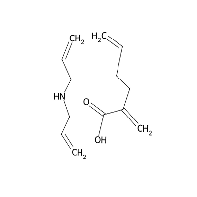 C=CCCC(=C)C(=O)O.C=CCNCC=C